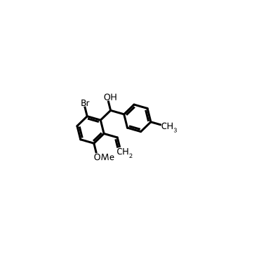 C=Cc1c(OC)ccc(Br)c1C(O)c1ccc(C)cc1